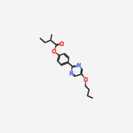 CCCCOc1cnc(-c2ccc(OC(=O)C(C)CC)cc2)nc1